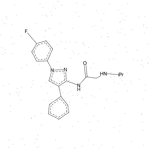 CC(C)NCC(=O)Nc1nn(-c2ccc(F)cc2)cc1-c1ccccc1